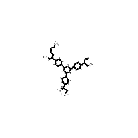 C=C/C=C\C=C(/C=C)c1ccc(-c2nc(-c3ccc(C(=C)C=C)cc3)nc(-c3ccc(/C(C=C)=C/C)cc3)n2)cc1